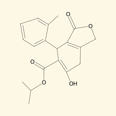 Cc1ccccc1C1C(C(=O)OC(C)C)=C(O)CC2=C1C(=O)OC2